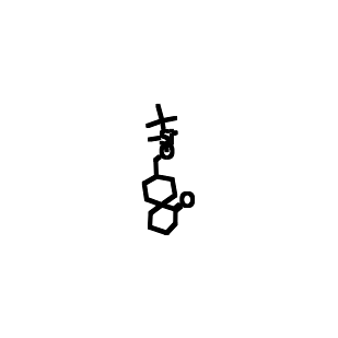 CC(C)(C)[Si](C)(C)OCC1CCC2(CCCCC2=O)CC1